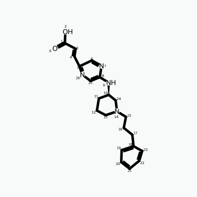 O=C(O)/C=C/c1cnc(N[C@@H]2CCCN(CCCc3ccccc3)C2)cn1